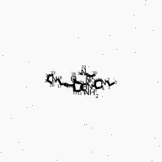 CCCN1CCC(N/C(C2=C(N)CC=C(C#CCCN3CCCC3)C(OC)=C2)=[N+]2C(C)=C\2N(C)C)CC1